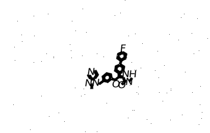 Cc1nc2cnccc2n1Cc1cccc(C(=O)c2c(C(=O)N(C)C)[nH]c3cc(-c4ccc(F)cc4)ccc23)c1